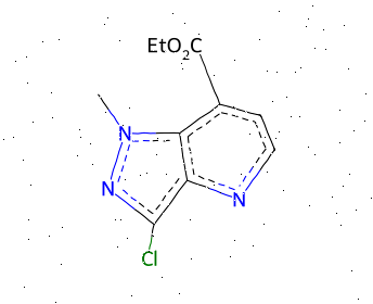 CCOC(=O)c1ccnc2c(Cl)nn(C)c12